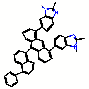 Cc1nc2ccc(-c3cccc4c(-c5cccc6c(-c7ccccc7)cccc56)c5cccc(-c6ccc7nc(C)n(C)c7c6)c5cc34)cc2n1C